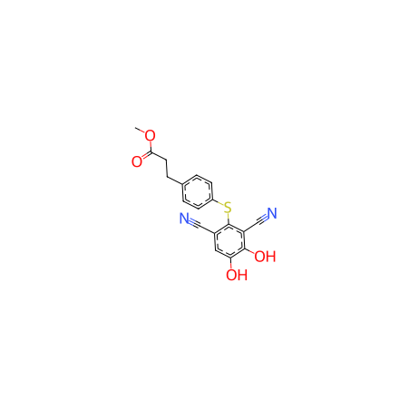 COC(=O)CCc1ccc(Sc2c(C#N)cc(O)c(O)c2C#N)cc1